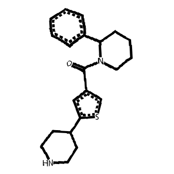 O=C(c1csc(C2CCNCC2)c1)N1CCCCC1c1ccccc1